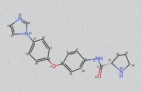 O=C(Nc1ccc(Oc2ccc(-n3ccnc3)cc2)cc1)[C@@H]1CCCN1